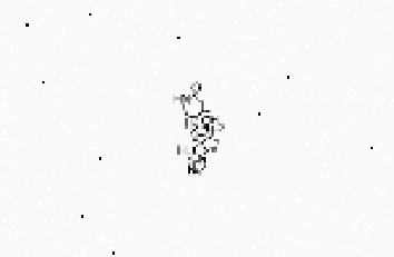 C[C@]12CCNC(=O)C=C1CC[C@@H]1[C@@H]2CC[C@]2(C)C(n3ccnc3)=CC[C@@H]12